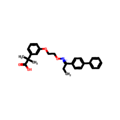 CC/C(=N\OCCOc1cccc(C(C)(C)C(=O)O)c1)c1ccc(-c2ccccc2)cc1